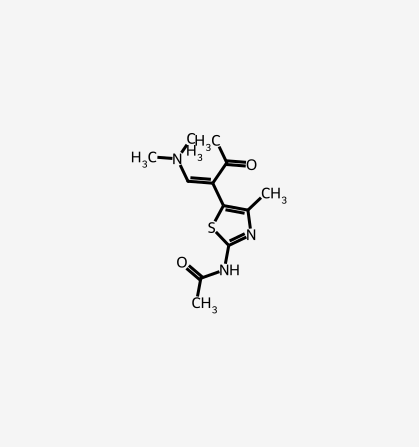 CC(=O)Nc1nc(C)c(C(=CN(C)C)C(C)=O)s1